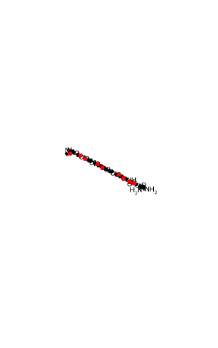 Cc1cn(CCOCCOCCOCCOCCOCCOCCOCCOCCOCCOCCNC(=O)CCSSC[C@H](N)C(=O)CN)nn1